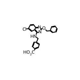 O=C(O)c1ccc(CNc2nc(OCc3ccccc3)nc3ccc(Cl)cc23)cc1